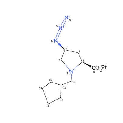 CCOC(=O)[C@@H]1C[C@H](N=[N+]=[N-])CN1CC1CCCC1